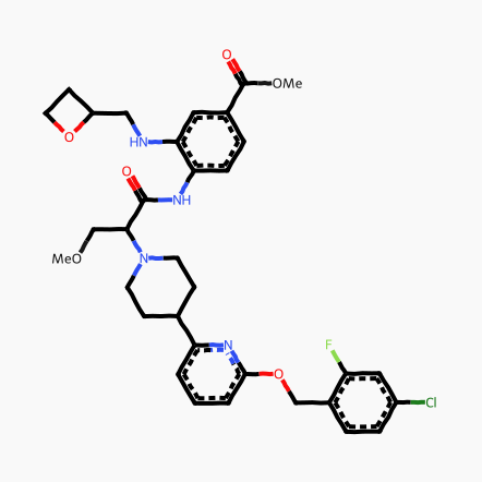 COCC(C(=O)Nc1ccc(C(=O)OC)cc1NCC1CCO1)N1CCC(c2cccc(OCc3ccc(Cl)cc3F)n2)CC1